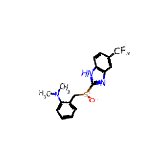 CN(C)c1ccccc1C[S+]([O-])c1nc2cc(C(F)(F)F)ccc2[nH]1